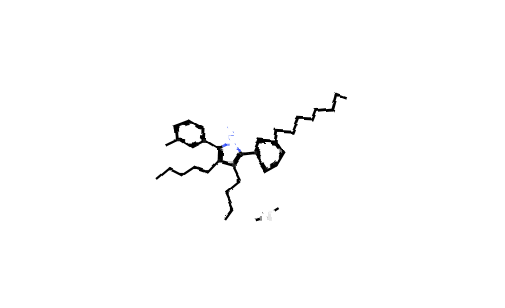 CCCCCCCCc1cccc(C2=C(CCCC)C(CCCCC)=C(c3cccc(C)c3)[N+]2=[N-])c1.[CH3][Ni][CH3]